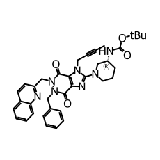 CC#CCn1c(N2CCC[C@@H](NC(=O)OC(C)(C)C)C2)nc2c(=O)n(Cc3ccccc3)n(Cc3ccc4ccccc4n3)c(=O)c21